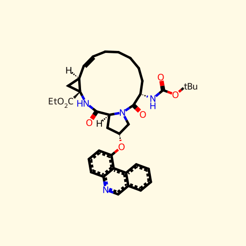 CCOC(=O)[C@@]12C[C@H]1/C=C\CCCCC[C@H](NC(=O)OC(C)(C)C)C(=O)N1C[C@H](Oc3cccc4ncc5ccccc5c34)C[C@H]1C(=O)N2